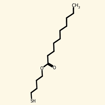 CCCCCCCCCC(=O)OCCCCS